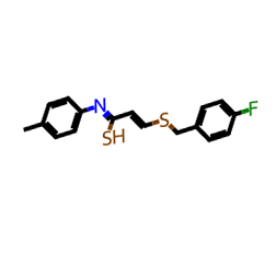 Cc1ccc(N=C(S)C=CSCc2ccc(F)cc2)cc1